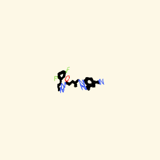 C=C(CCC(=O)N1N=CCC1c1cc(F)ccc1F)Cn1ncc2cc(C#N)ccc21